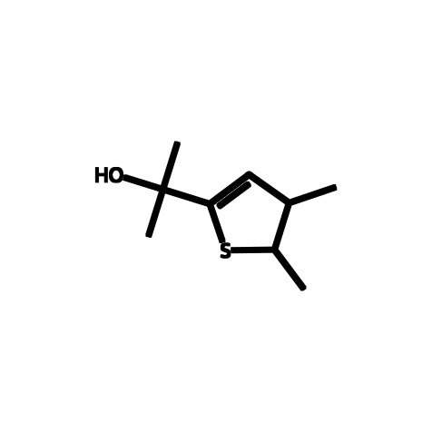 CC1C=C(C(C)(C)O)SC1C